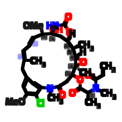 C=CC(=O)N(C)[C@@H](C)C(=O)O[C@H]1CC(=O)N(C)c2cc(cc(OC)c2Cl)C/C(C)=C/C=C/[C@@H](OC)[C@@]2(O)C[C@H](OC(=O)N2)[C@@H](C)[C@@H]2O[C@@]12C